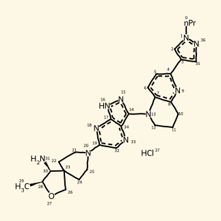 CCCn1cc(-c2ccc3c(n2)CCCN3c2n[nH]c3nc(N4CCC5(CC4)CO[C@@H](C)[C@H]5N)cnc23)cn1.Cl